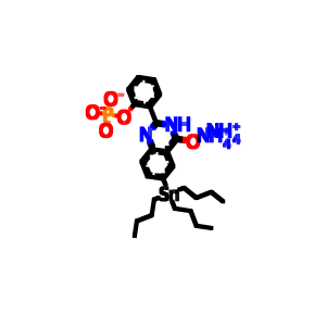 CCC[CH2][Sn]([CH2]CCC)([CH2]CCC)[c]1ccc2nc(-c3ccccc3OP(=O)([O-])[O-])[nH]c(=O)c2c1.[NH4+].[NH4+]